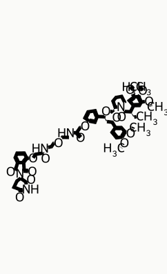 CC[C@H](C(=O)N1CCCC[C@H]1C(=O)O[C@H](CCc1ccc(OC)c(OC)c1)c1cccc(OCC(=O)NCCOCCNC(=O)COc2cccc3c2C(=O)N(C2CCC(=O)NC2=O)C3=O)c1)c1cc(OC)c(OC)c(OC)c1